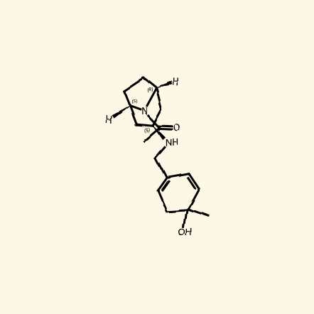 CC(=O)N1[C@@H]2CC[C@H]1C[C@H](NCC1=CCC(C)(O)C=C1)C2